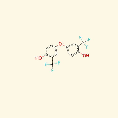 Oc1ccc(Oc2ccc(O)c(C(F)(F)F)c2)cc1C(F)(F)F